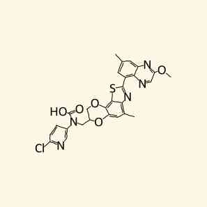 COc1cnc2c(-c3nc4c(C)cc5c(c4s3)OCC(CN(C(=O)O)c3ccc(Cl)nc3)O5)cc(C)cc2n1